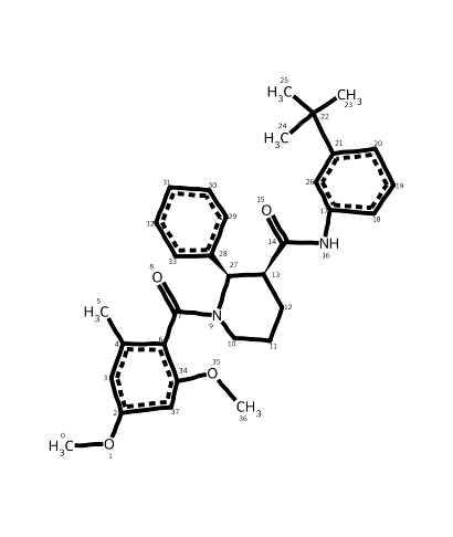 COc1cc(C)c(C(=O)N2CCC[C@H](C(=O)Nc3cccc(C(C)(C)C)c3)[C@@H]2c2ccccc2)c(OC)c1